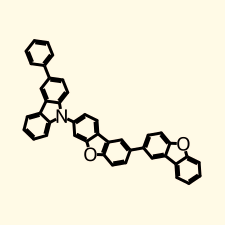 c1ccc(-c2ccc3c(c2)c2ccccc2n3-c2ccc3c(c2)oc2ccc(-c4ccc5oc6ccccc6c5c4)cc23)cc1